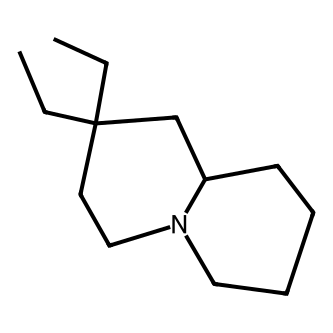 CCC1(CC)CCN2CCCCC2C1